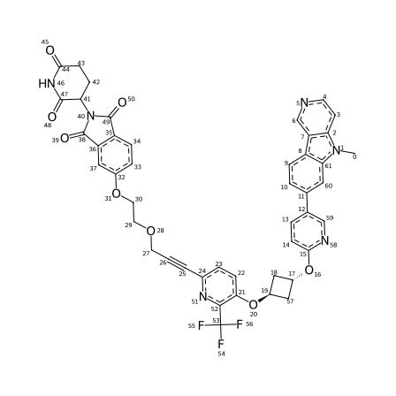 Cn1c2ccncc2c2ccc(-c3ccc(O[C@H]4C[C@H](Oc5ccc(C#CCOCCOc6ccc7c(c6)C(=O)N(C6CCC(=O)NC6=O)C7=O)nc5C(F)(F)F)C4)nc3)cc21